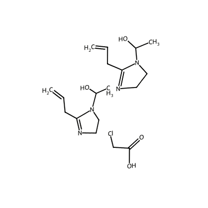 C=CCC1=NCCN1C(C)O.C=CCC1=NCCN1C(C)O.O=C(O)CCl